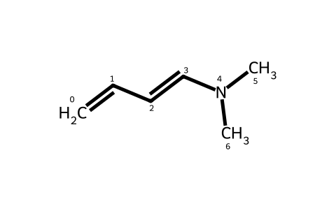 C=CC=CN(C)C